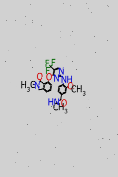 CNC(=O)c1ccc(Nc2ncc(C(F)(F)F)c(Oc3cccc4c3C(=O)N(C)C4)n2)c(OC)c1